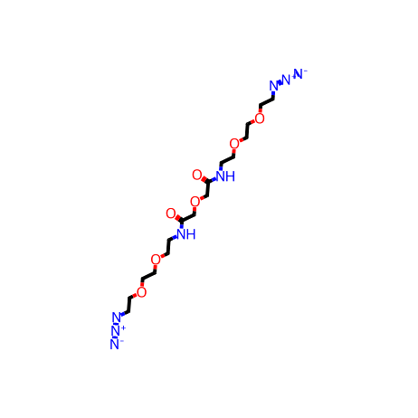 [N-]=[N+]=NCCOCCOCCNC(=O)COCC(=O)NCCOCCOCCN=[N+]=[N-]